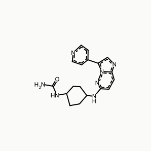 NC(=O)NC1CCC(Nc2ccc3ncc(-c4ccncc4)n3n2)CC1